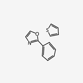 c1ccc(-c2ncco2)cc1.c1ccsc1